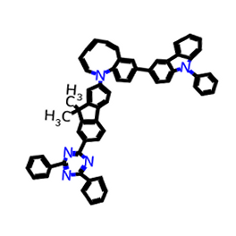 CC1(C)c2cc(-c3nc(-c4ccccc4)nc(-c4ccccc4)n3)ccc2-c2ccc(-n3ccccccc4cc(-c5ccc6c(c5)c5ccccc5n6-c5ccccc5)ccc43)cc21